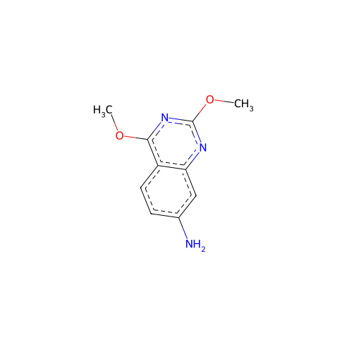 COc1nc(OC)c2ccc(N)cc2n1